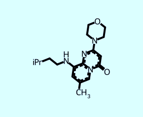 Cc1cc(NCCC(C)C)c2nc(N3CCOCC3)cc(=O)n2c1